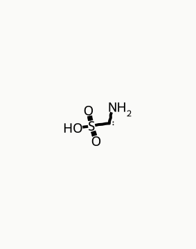 N[C]S(=O)(=O)O